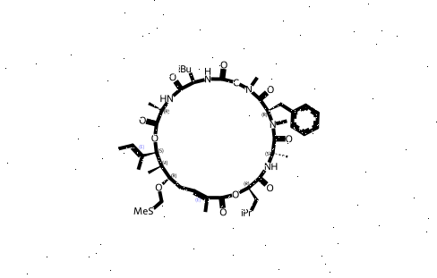 C/C=C(\C)[C@H]1OC(=O)[C@@H](C)NC(=O)C(C(C)CC)NC(=O)CN(C)C(=O)[C@@H](Cc2ccccc2)N(C)C(=O)[C@H](C)NC(=O)[C@@H](CC(C)C)OC(=O)/C(C)=C/C[C@@H](OCSC)[C@H]1C